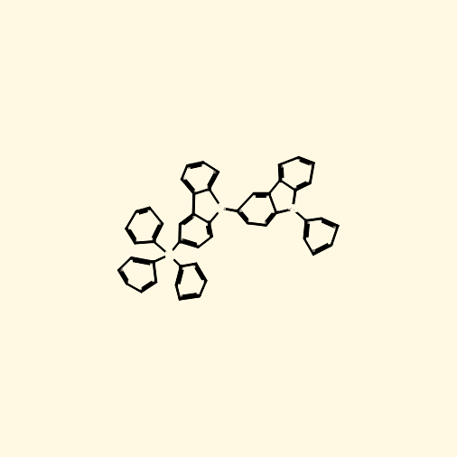 c1ccc(-n2c3ccccc3c3cc(-n4c5ccccc5c5cc([Si](c6ccccc6)(c6ccccc6)c6ccccc6)ccc54)ccc32)cc1